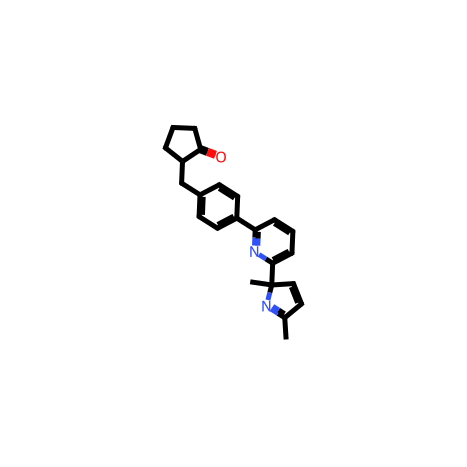 CC1=NC(C)(c2cccc(-c3ccc(CC4CCCC4=O)cc3)n2)C=C1